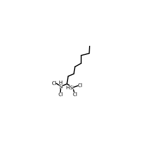 CCCCCCCC([SiH](Cl)Cl)[SiH](Cl)Cl